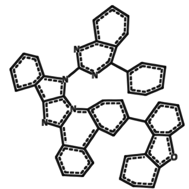 c1ccc(-c2nc(-n3c4ccccc4c4nc5c6ccccc6c6cc(-c7cccc8oc9ccccc9c78)ccc6n5c43)nc3ccccc23)cc1